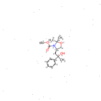 CC(C)(C)OC(=O)N1[C@H](CC(C)(O)c2ccccc2)COC1(C)C